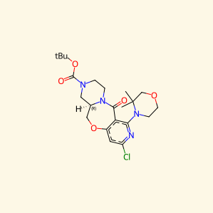 CC(C)(C)OC(=O)N1CCN2C(=O)c3c(cc(Cl)nc3N3CCOCC3(C)C)OC[C@H]2C1